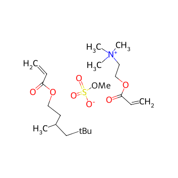 C=CC(=O)OCCC(C)CC(C)(C)C.C=CC(=O)OCC[N+](C)(C)C.COS(=O)(=O)[O-]